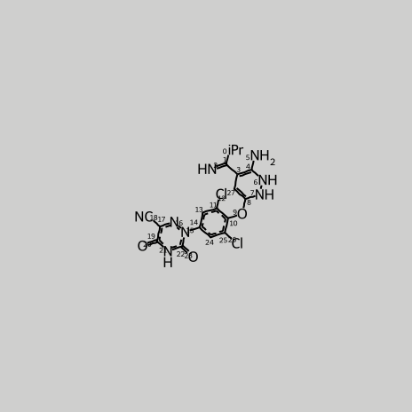 CC(C)C(=N)C1=C(N)NNC(Oc2c(Cl)cc(-n3nc(C#N)c(=O)[nH]c3=O)cc2Cl)=C1